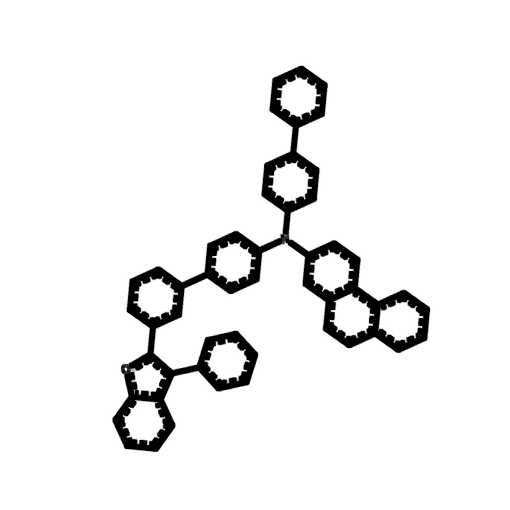 c1ccc(-c2ccc(N(c3ccc(-c4cccc(-c5oc6ccccc6c5-c5ccccc5)c4)cc3)c3ccc4c(ccc5ccccc54)c3)cc2)cc1